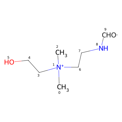 C[N+](C)(CCO)CCN[C]=O